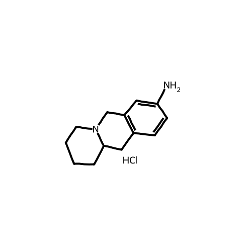 Cl.Nc1ccc2c(c1)CN1CCCCC1C2